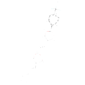 CCCCC[C@H]1CO[C@H](CC[C@H]2CO[C@H](c3ccc(C(F)(F)F)cc3)OC2)OC1